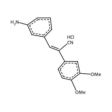 COc1ccc(/C(C#N)=C/c2cccc(N)c2)cc1OC.Cl